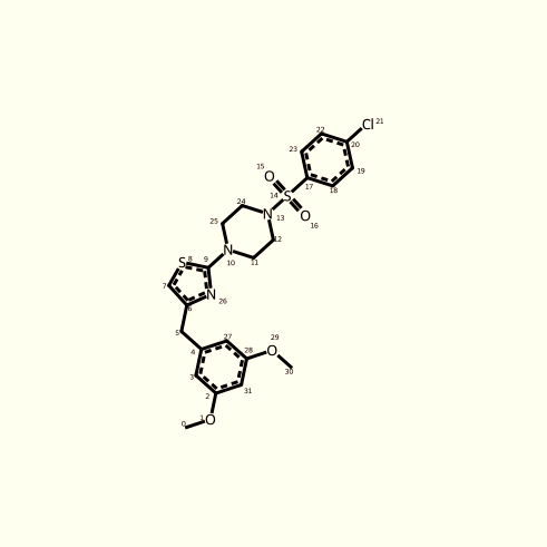 COc1cc(Cc2csc(N3CCN(S(=O)(=O)c4ccc(Cl)cc4)CC3)n2)cc(OC)c1